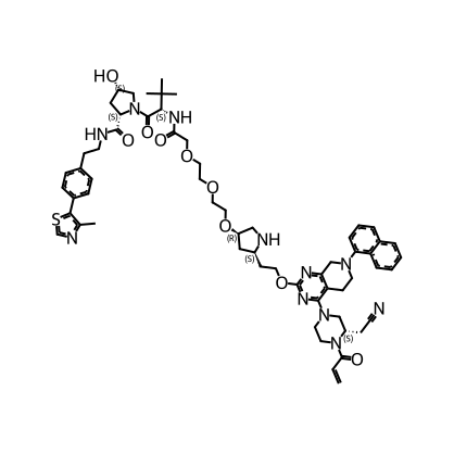 C=CC(=O)N1CCN(c2nc(OCC[C@H]3C[C@@H](OCCOCCOCC(=O)N[C@H](C(=O)N4C[C@@H](O)C[C@H]4C(=O)NCCc4ccc(-c5scnc5C)cc4)C(C)(C)C)CN3)nc3c2CCN(c2cccc4ccccc24)C3)C[C@@H]1CC#N